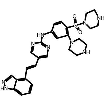 O=S(=O)(c1ccc(Nc2ncc(/C=C/c3cccc4[nH]ncc34)cn2)cc1N1CCNCC1)N1CCNCC1